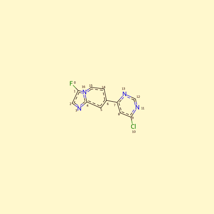 Fc1cnc2cc(-c3cc(Cl)ncn3)ccn12